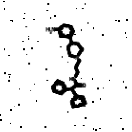 Nc1cccc(C2CCN(CCCNC(=O)C(c3ccccc3)c3ccccc3)CC2)c1